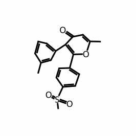 Cc1cccc(-c2c(-c3ccc(S(C)(=O)=O)cc3)oc(C)cc2=O)c1